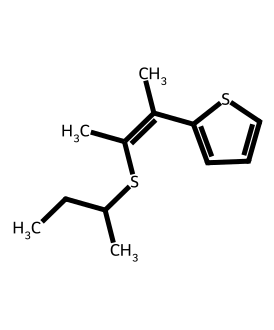 CCC(C)S/C(C)=C(/C)c1cccs1